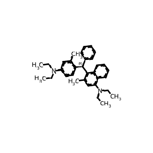 CCN(CC)c1ccc([C@@H](c2ccccc2)c2c(C)cc(N(CC)CC)c3ccccc23)c(C)c1